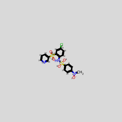 C=[N+]([O-])c1ccc(S(=O)(=O)Nc2ccc(Cl)cc2S(=O)(=O)c2cccnc2)cc1